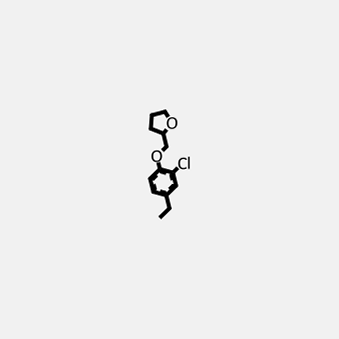 CCc1ccc(OCC2CCCO2)c(Cl)c1